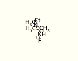 CCN(C)/C=N/c1cc(C)c(C(=O)CNc2cccc(F)c2)cc1C